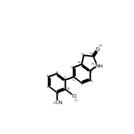 N#Cc1cccc(-c2ccc3c(c2)CC(=O)N3)c1Cl